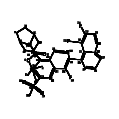 CC(C)(C)OC(=O)N1C2CCC1CN(c1nc(S(C)(=O)=O)nc3c(F)c(-c4cccc5ccc(F)c(F)c45)ncc13)C2